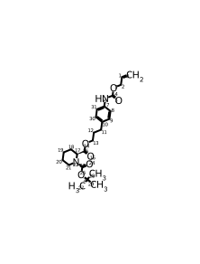 C=CCOC(=O)Nc1ccc(CCCOC(=O)[C@@H]2CCCCN2C(=O)OC(C)(C)C)cc1